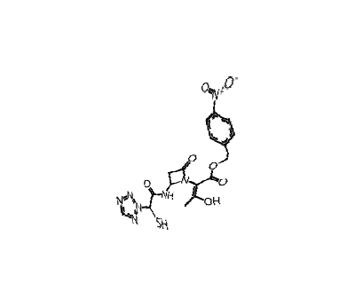 CC(O)=C(C(=O)OCc1ccc([N+](=O)[O-])cc1)N1C(=O)CC1NC(=O)C(S)n1ncnn1